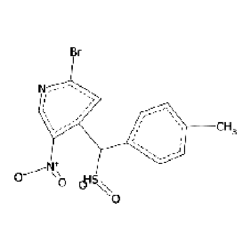 Cc1ccc(C(c2cc(Br)ncc2[N+](=O)[O-])[SH](=O)=O)cc1